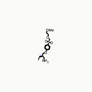 COCCOCS(=O)(=O)c1ccc(OC/C(=C/F)CN)cc1